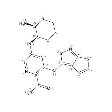 NC(=O)c1ncc(N[C@@H]2CCCC[C@@H]2N)nc1Nc1snc2sccc12